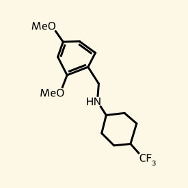 COc1ccc(CNC2CCC(C(F)(F)F)CC2)c(OC)c1